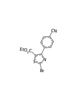 CCOC(=O)c1sc(Br)nc1-c1ccc(C#N)cc1